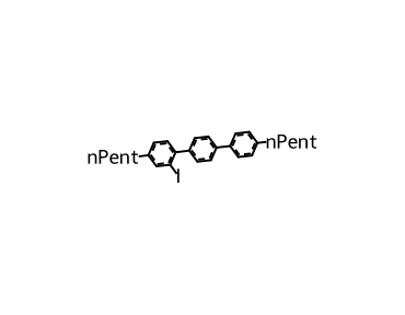 CCCCCc1ccc(-c2ccc(-c3ccc(CCCCC)cc3I)cc2)cc1